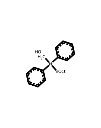 CCCCCCCC[N+](C)(c1ccccc1)c1ccccc1.[OH-]